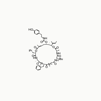 C/C=C(\C)[C@H]1OC(=O)[C@@H](C)NC(=O)[C@H]([C@H](C)CC)NC(=O)CN(C)C(=O)[C@@H](Cc2ccccc2)N(C)C(=O)[C@H](C)NC(=O)[C@@H](CC(C)C)OC(=O)/C(C)=C/C[C@H](OC(=O)NCCc2ccc(O)cc2)[C@@H]1C